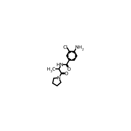 CC(NC(=O)c1ccc(N)c(Cl)c1)C(=O)N1CCCC1